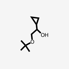 CC(C)(C)OCC(O)C1CC1